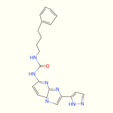 O=C(NCCCCc1ccccc1)Nc1ccc2ncc(-c3ccn[nH]3)nc2n1